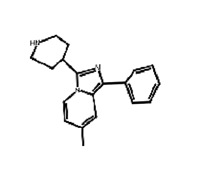 Cc1ccn2c(C3CCNCC3)nc(-c3ccccc3)c2c1